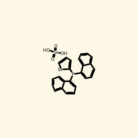 O=[Se](=O)(O)O.c1c[se]c(P(c2cccc3ccccc23)c2cccc3ccccc23)c1